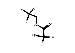 O=C(OCC(Cl)(Cl)Cl)C(F)(F)F